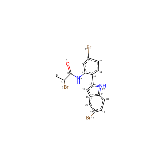 CC(Br)C(=O)Nc1cc(Br)ccc1-c1cc2cc(Br)ccc2[nH]1